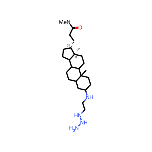 CNC(=O)CC[C@H]1CCC2C3CCC4CC(NCCNNN)CCC4(C)C3CC[C@@]21C